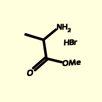 Br.COC(=O)C(C)N